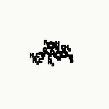 CCN(CC)C(=O)[C@@H](C)Oc1cc(F)ccc1Nc1ncnc2cc(N=S)cc(C)c12